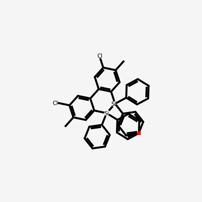 Cc1cc2c(cc1Cl)-c1cc(Cl)c(C)cc1[Si](c1ccccc1)(c1ccccc1)[Si]2(c1ccccc1)c1ccccc1